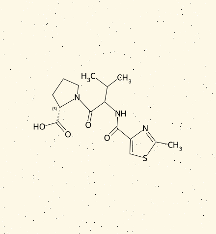 Cc1nc(C(=O)NC(C(=O)N2CCC[C@H]2C(=O)O)C(C)C)cs1